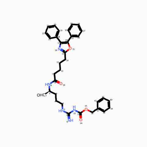 N=C(NCCC[C@@H](C=O)NC(=O)CCCCc1nc(-c2ccccc2)c(-c2ccccc2)o1)NC(=O)OCc1ccccc1